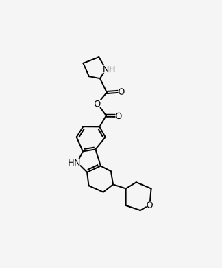 O=C(OC(=O)C1CCCN1)c1ccc2[nH]c3c(c2c1)CC(C1CCOCC1)CC3